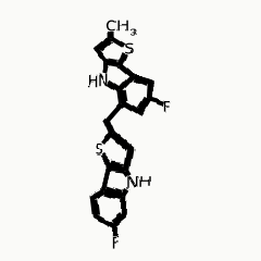 Cc1cc2[nH]c3c(Cc4cc5[nH]c6cc(F)ccc6c5s4)cc(F)cc3c2s1